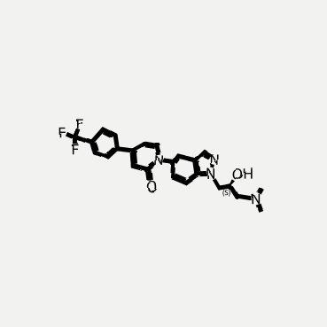 CN(C)C[C@H](O)Cn1ncc2cc(-n3ccc(-c4ccc(C(F)(F)F)cc4)cc3=O)ccc21